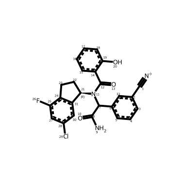 N#Cc1cccc(C(C(N)=O)N(C(=O)c2ccccc2O)[C@@H]2CCc3c(F)cc(Cl)cc32)c1